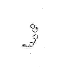 N=CN1CCC(Oc2ccc(-c3cnc4ccccc4c3)cc2)CC1